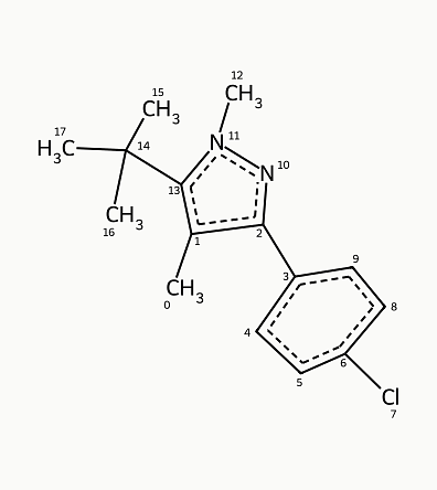 Cc1c(-c2ccc(Cl)cc2)nn(C)c1C(C)(C)C